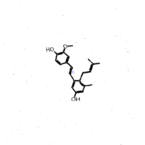 COc1cc(/C=C/c2cc(O)cc(C)c2CC=C(C)C)ccc1O